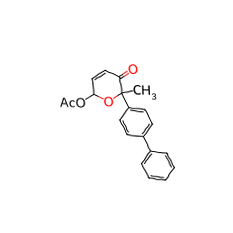 CC(=O)OC1C=CC(=O)C(C)(c2ccc(-c3ccccc3)cc2)O1